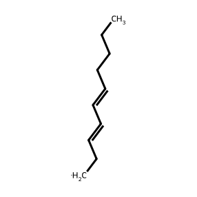 [CH2]C/C=C/C=C/CCCC